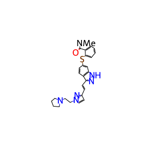 CNC(=O)c1ccccc1Sc1ccc2c(/C=C/c3ccn(CCN4CCCC4)n3)n[nH]c2c1